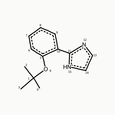 CC(C)(C)Oc1ccccc1-c1ncc[nH]1